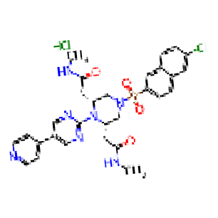 CNC(=O)C[C@@H]1CN(S(=O)(=O)c2ccc3cc(Cl)ccc3c2)C[C@H](CC(=O)NC)N1c1ncc(-c2ccncc2)cn1.Cl